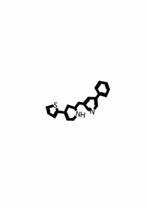 C1=C(c2cccs2)CC(Cc2cncc(-c3ccccc3)c2)NC1